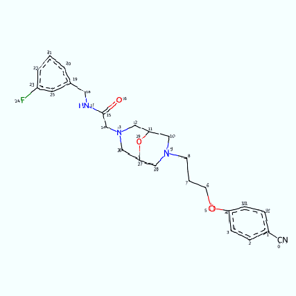 N#Cc1ccc(OCCCN2CC3CN(CC(=O)NCc4cccc(F)c4)CC(C2)O3)cc1